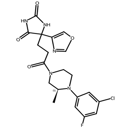 C[C@H]1CN(C(=O)CCC2(c3cocn3)NC(=O)NC2=O)CCN1c1cc(F)cc(Cl)c1